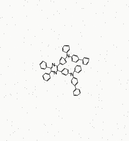 c1ccc(-c2ccc(N(c3ccccc3)c3ccc(-c4nc(-c5ccccc5)c(-c5ccccc5)nc4-c4ccc(N(c5ccccc5)c5ccc(-c6ccccc6)cc5)cc4)cc3)cc2)cc1